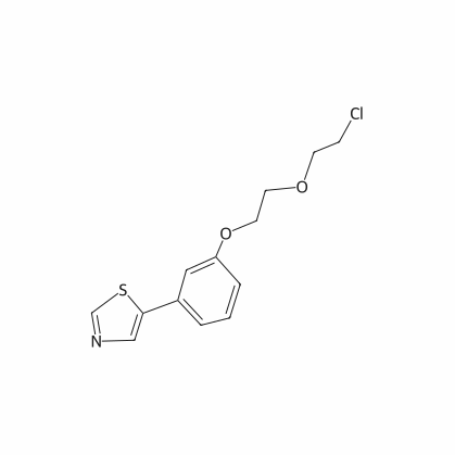 ClCCOCCOc1cccc(-c2cncs2)c1